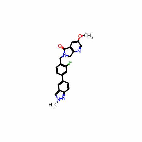 COc1cnc2c(c1)C(=O)N(Cc1ccc(-c3ccc4nn(C)cc4c3)cc1F)C2